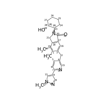 Cc1c(Cc2ccc(-c3cnn(C)c3)nc2)cc2c(c1C)CN([C@@H]1CCCC[C@H]1O)C2=O